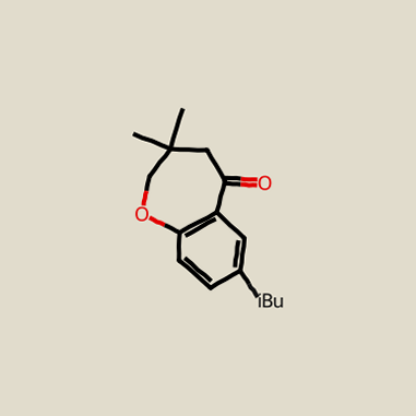 CCC(C)c1ccc2c(c1)C(=O)CC(C)(C)CO2